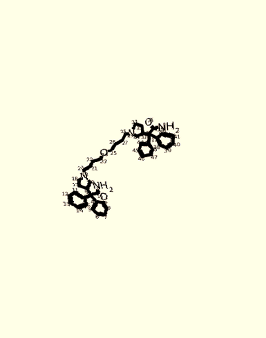 NC(=O)C(c1ccccc1)(c1ccccc1)C1CCN(CCCCOCCCCN2CCC(C(C(N)=O)(c3ccccc3)c3ccccc3)C2)C1